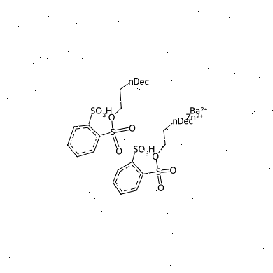 CCCCCCCCCCCCOS(=O)(=O)c1ccccc1S(=O)(=O)O.CCCCCCCCCCCCOS(=O)(=O)c1ccccc1S(=O)(=O)O.[Ba+2].[Zn+2]